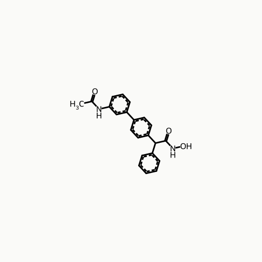 CC(=O)Nc1cccc(-c2ccc(C(C(=O)NO)c3ccccc3)cc2)c1